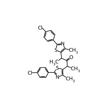 Cc1nc(-c2ccc(Cl)cc2)sc1C(C)C(=O)C(C)c1sc(-c2ccc(Cl)cc2)nc1C